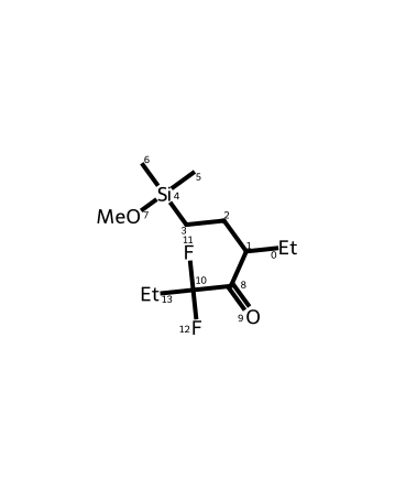 CCC(CC[Si](C)(C)OC)C(=O)C(F)(F)CC